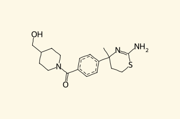 CC1(c2ccc(C(=O)N3CCC(CO)CC3)cc2)CCSC(N)=N1